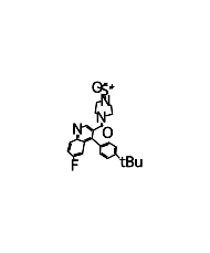 C[S+]([O-])N1CCN(C(=O)c2cnc3ccc(F)cc3c2-c2ccc(C(C)(C)C)cc2)CC1